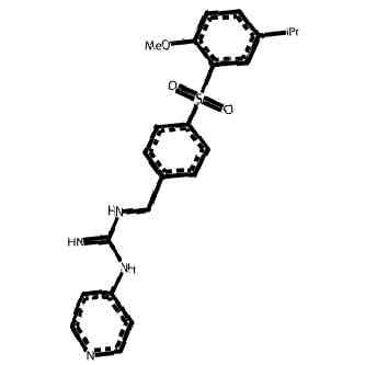 COc1ccc(C(C)C)cc1S(=O)(=O)c1ccc(CNC(=N)Nc2ccncc2)cc1